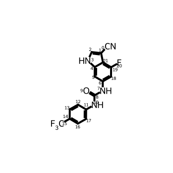 N#Cc1c[nH]c2cc(NC(=O)Nc3ccc(C(F)(F)F)cc3)cc(F)c12